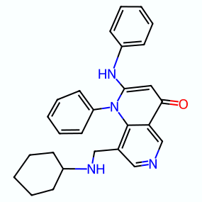 O=c1cc(Nc2ccccc2)n(-c2ccccc2)c2c(CNC3CCCCC3)cncc12